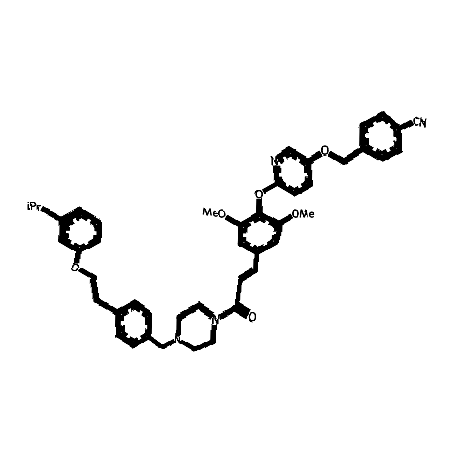 COc1cc(C=CC(=O)N2CCN(Cc3ccc(CCOc4cccc(C(C)C)c4)cc3)CC2)cc(OC)c1Oc1ccc(OCc2ccc(C#N)cc2)cn1